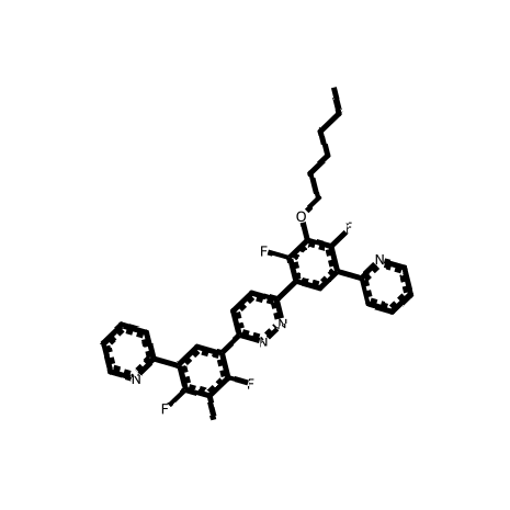 CCCCCCOc1c(F)c(-c2ccccn2)cc(-c2ccc(-c3cc(-c4ccccn4)c(F)c(C)c3F)nn2)c1F